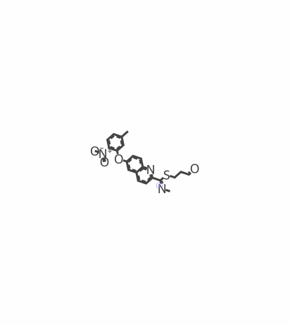 C/N=C(\SCCC=O)c1ccc2cc(Oc3cc(C)ccc3[N+](=O)[O-])ccc2n1